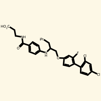 CC(C)CC(COc1ccc(-c2ccc(Cl)cc2Cl)c(F)c1)Nc1ccc(C(=O)NCCC(=O)O)cc1